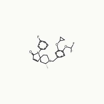 C[C@@H]1C[C@]2(C=CC(=O)N2c2cccc(F)c2)CCN1Cc1ccc(OC(F)F)c(OC2CC2)c1